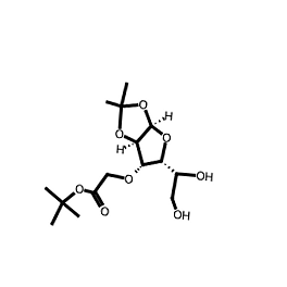 CC(C)(C)OC(=O)CO[C@@H]1[C@H]2OC(C)(C)O[C@H]2O[C@@H]1C(O)CO